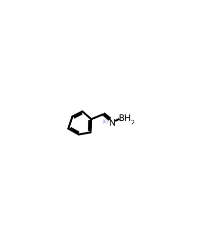 B/N=C/c1ccccc1